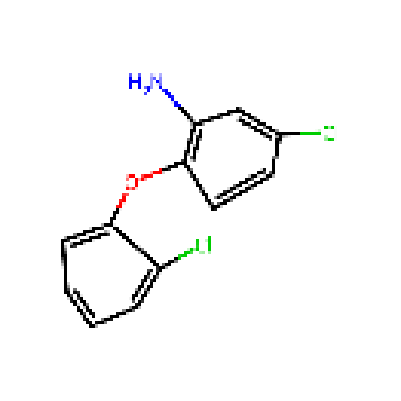 Nc1cc(Cl)ccc1Oc1ccccc1Cl